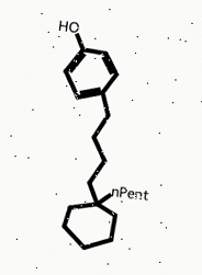 CCCCCC1(CCCCc2ccc(O)cc2)CCCCC1